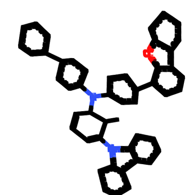 CC1C(n2c3ccccc3c3ccccc32)=CC=CC1N(c1ccc(-c2ccccc2)cc1)c1ccc(-c2cccc3c2oc2ccccc23)cc1